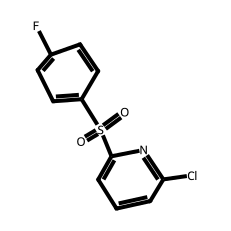 O=S(=O)(c1ccc(F)cc1)c1cccc(Cl)n1